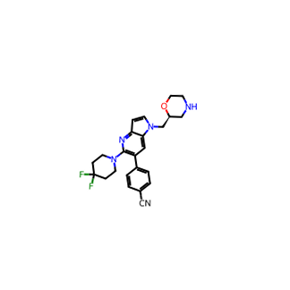 N#Cc1ccc(-c2cc3c(ccn3C[C@@H]3CNCCO3)nc2N2CCC(F)(F)CC2)cc1